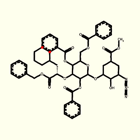 COC(=O)C1CC(N=[N+]=[N-])C(O)C(OC2OC(COC(=O)c3ccccc3)C(OC(=O)c3ccccc3)C(O[C@@H](CC3CCCCC3)C(=O)OCc3ccccc3)C2OC(=O)c2ccccc2)C1